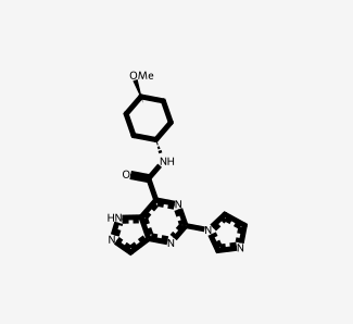 CO[C@H]1CC[C@H](NC(=O)c2nc(-n3ccnc3)nc3cn[nH]c23)CC1